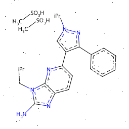 CC(C)Cn1c(N)nc2ccc(-c3cn(C(C)C)nc3-c3ccccc3)nc21.CS(=O)(=O)O.CS(=O)(=O)O